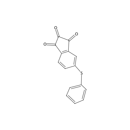 O=c1c(=O)c2ccc(Sc3ccccc3)cc2c1=O